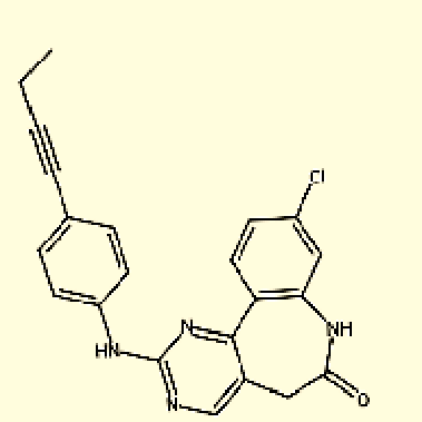 CCC#Cc1ccc(Nc2ncc3c(n2)-c2ccc(Cl)cc2NC(=O)C3)cc1